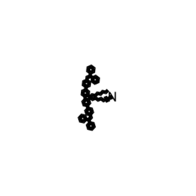 CCCCCCCC1(CCCCCC(C)(C)C#N)c2cc(-c3ccc(C=C(c4ccccc4)c4ccccc4)cc3)ccc2-c2ccc(-c3ccc(C=C(c4ccccc4)c4ccccc4)cc3)cc21